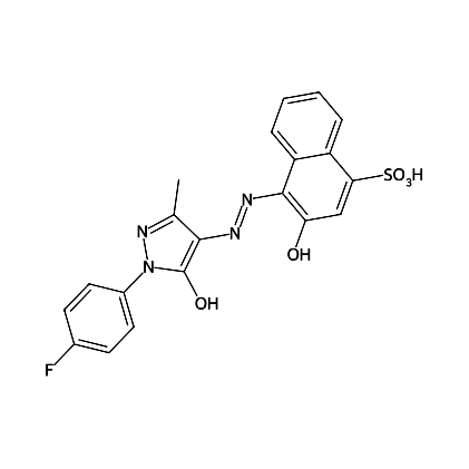 Cc1nn(-c2ccc(F)cc2)c(O)c1N=Nc1c(O)cc(S(=O)(=O)O)c2ccccc12